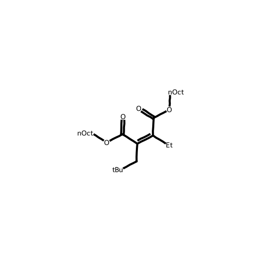 CCCCCCCCOC(=O)/C(CC)=C(/CC(C)(C)C)C(=O)OCCCCCCCC